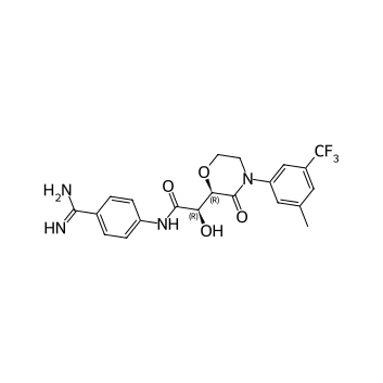 Cc1cc(N2CCO[C@H]([C@@H](O)C(=O)Nc3ccc(C(=N)N)cc3)C2=O)cc(C(F)(F)F)c1